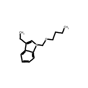 CCCCOCn1cc(CC)c2ccccc21